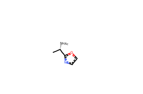 CC(=O)N[C@@H](C)c1ncco1